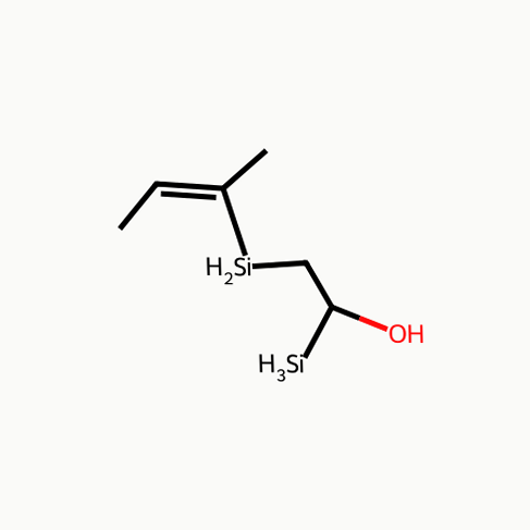 CC=C(C)[SiH2]CC(O)[SiH3]